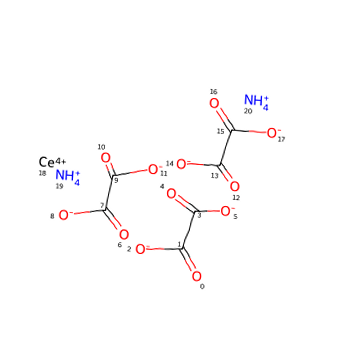 O=C([O-])C(=O)[O-].O=C([O-])C(=O)[O-].O=C([O-])C(=O)[O-].[Ce+4].[NH4+].[NH4+]